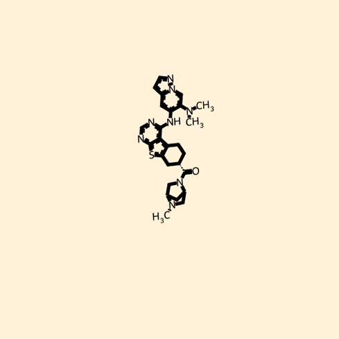 CN(C)c1cn2nccc2cc1Nc1ncnc2sc3c(c12)CC[C@H](C(=O)N1CC2CC1CN2C)C3